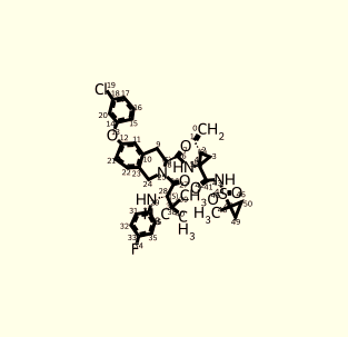 C=C[C@@H]1C[C@]1(NC(=O)[C@@H]1Cc2cc(Oc3cccc(Cl)c3)ccc2CN1C(=O)[C@@H](Nc1ccc(F)cc1)C(C)(C)C)C(=O)NS(=O)(=O)C1(C)CC1